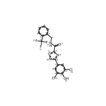 O=C(NCc1ccccc1C(F)(F)F)c1nc(-c2cc(Cl)c(O)c(Cl)c2)no1